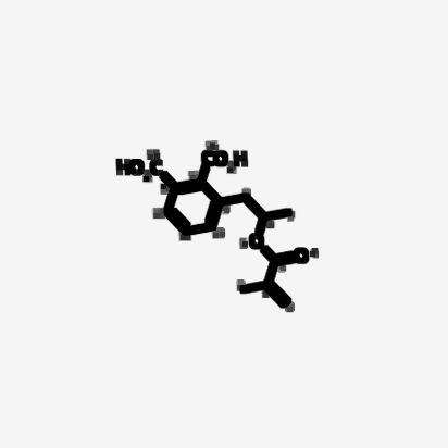 C=C(C)C(=O)OC(C)Cc1cccc(C(=O)O)c1C(=O)O